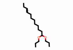 CC/C=C/CCCCCCCC(OCCC)OCCC